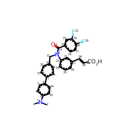 CN(C)c1ccc(-c2ccc(CN(C(=O)c3ccc(F)c(F)c3)c3cccc(C=CC(=O)O)c3)cc2)cc1